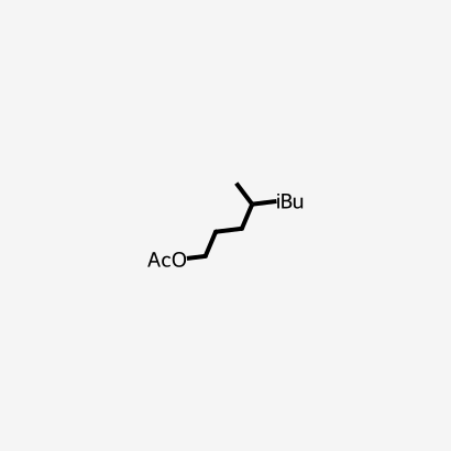 CCC(C)C(C)CCCOC(C)=O